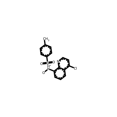 Cc1ccc(S(=O)(=O)[NH+]([O-])c2cccc3c(Cl)ccnc23)cc1